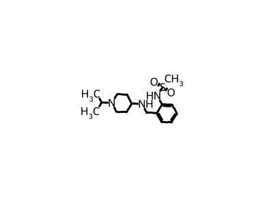 CC(C)N1CCC(NCc2ccccc2NS(C)(=O)=O)CC1